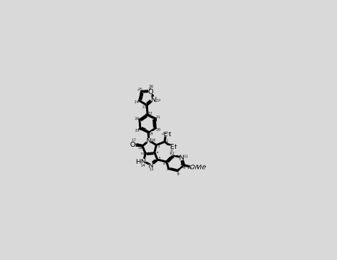 CCC(CC)C1c2c(-c3ccc(OC)nc3)n[nH]c2C(=O)N1c1ccc(-c2ccon2)cc1